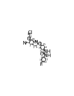 N#Cc1cc2ccc(Oc3ccc(NC(=O)Nc4ccc(F)cc4)cc3)nc2cc1OCCCl